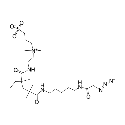 CCC(C)(CC(C)(C)C(=O)NCCCCCNC(=O)CN=[N+]=[N-])C(=O)NCC[N+](C)(C)CCCS(=O)(=O)[O-]